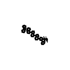 c1cc(-c2cccc3c(-c4cccc5c(-n6c7ccccc7c7ccccc76)cccc45)cccc23)c2cccc(-c3ccc4c(c3)c3ccccc3c3nccnc43)c2c1